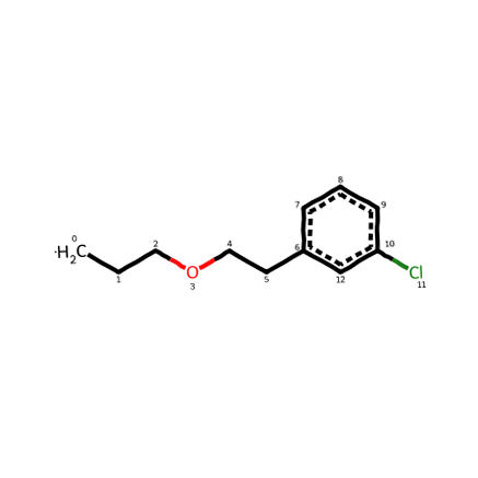 [CH2]CCOCCc1cccc(Cl)c1